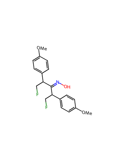 COc1ccc(C(CF)C(=NO)C(CF)c2ccc(OC)cc2)cc1